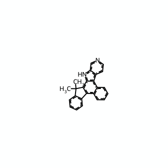 CC1(C)c2ccccc2-c2c1c1[nH]c3cnccc3c1c1ccccc21